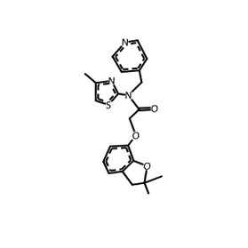 Cc1csc(N(Cc2ccncc2)C(=O)COc2cccc3c2OC(C)(C)C3)n1